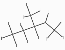 I[C](C(I)(I)I)C(I)(C(I)(I)I)C(I)(I)C(I)(I)I